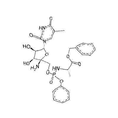 Cc1cn([C@@H]2O[C@](N)(COP(=O)(N[C@@H](C)C(=O)OCc3ccccc3)Oc3ccccc3)[C@@H](O)[C@H]2O)c(=O)[nH]c1=O